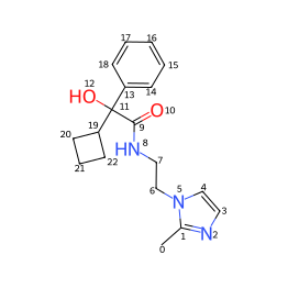 Cc1nccn1CCNC(=O)C(O)(c1ccccc1)C1CCC1